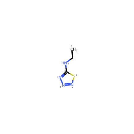 CCNc1nnns1